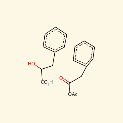 CC(=O)OC(=O)Cc1ccccc1.O=C(O)C(O)Cc1ccccc1